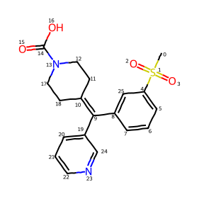 CS(=O)(=O)c1cccc(C(=C2CCN(C(=O)O)CC2)c2cccnc2)c1